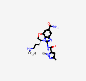 CCn1nc(C)cc1C(=O)Nc1nc2cc(C(N)=O)cc3c2n1[C@H](CCCNC(=O)O)CO3